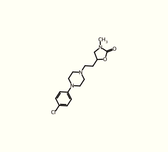 CN1CC(CCN2CCN(c3ccc(Cl)cc3)CC2)OC1=O